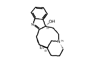 CC[C@]12CCC[N@@](CC[C@@]3(O)C(=Nc4ccccc43)CC1)C2